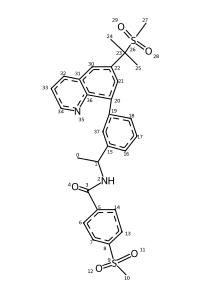 CC(NC(=O)c1ccc(S(C)(=O)=O)cc1)c1cccc(-c2cc(C(C)(C)S(C)(=O)=O)cc3cccnc23)c1